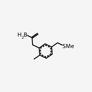 BC(=C)Cc1cc(CSC)ccc1C